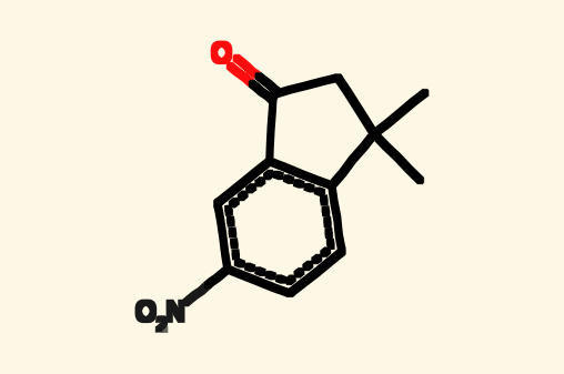 CC1(C)CC(=O)c2cc([N+](=O)[O-])ccc21